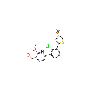 COc1nc(-c2cccc(-c3cc(Br)cs3)c2Cl)ccc1C=O